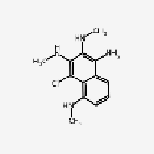 CNc1c(NC)c(Cl)c2c(NC)cccc2c1N